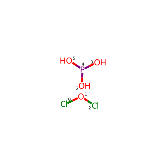 ClOCl.OP(O)O